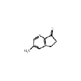 Nc1cnc2c(c1)CCC2=O